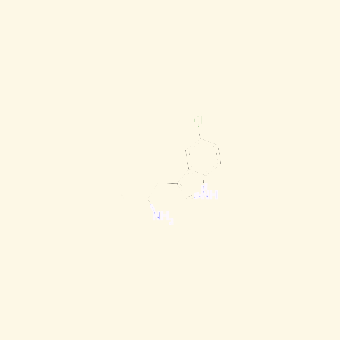 CC(=O)[C@@H](N)Cc1c[nH]c2ccc(Cl)cc12